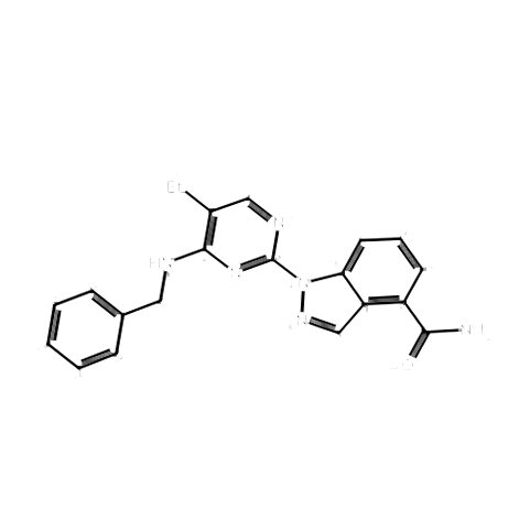 CCc1cnc(-n2ncc3c(C(N)=O)cccc32)nc1NCc1ccccc1